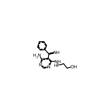 N=C(c1ccccc1)c1c(N)ncnc1NPCCO